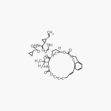 C=C[C@@H]1C[C@]1(NC(=O)[C@@H]1C[C@@H]2CN1C(=O)[C@H](C(C)(C)C)NC(=O)OCCCC/C=C/c1cccc3c1CN(C3)C(=O)O2)C(=O)NS(=O)(=O)C1CC1